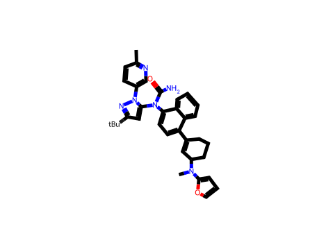 Cc1ccc(-n2nc(C(C)(C)C)cc2N(C(N)=O)c2ccc(C3=CC(N(C)c4ccco4)CCC3)c3ccccc23)cn1